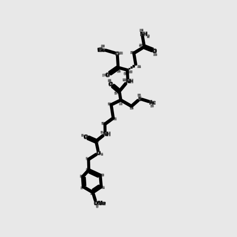 COc1ccc(COC(=O)NCCCC(CSC(C)=O)C(=O)N[C@@H](CCC(N)=O)C(=O)OC(C)(C)C)cc1